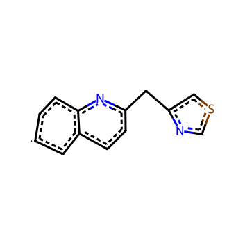 [c]1ccc2nc(Cc3cscn3)ccc2c1